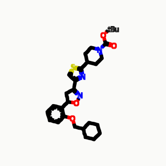 CC(C)(C)OC(=O)N1CCC(c2nc(C3=NOC(c4ccccc4OCC4CCCCC4)C3)cs2)CC1